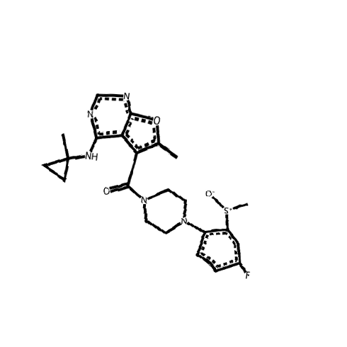 Cc1oc2ncnc(NC3(C)CC3)c2c1C(=O)N1CCN(c2ccc(F)cc2[S+](C)[O-])CC1